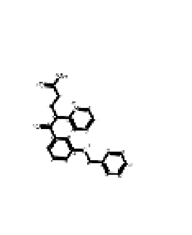 O=C(O)CCC(C(=O)c1cccc(OCc2ccccc2)c1)c1ccccn1